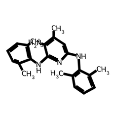 Cc1cc(Nc2c(C)cccc2C)nc(Nc2c(C)cccc2C)c1N